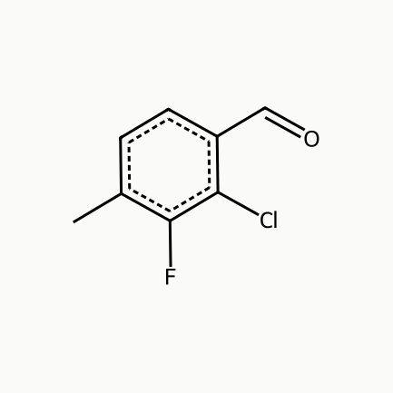 Cc1ccc(C=O)c(Cl)c1F